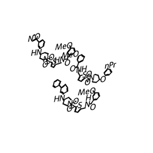 CCCc1cccc(OC2CCN(S(=O)(=O)c3ccc(CNC(=O)c4cccc(OC)c4)s3)CC2)c1.COc1cccc(C(=O)NCc2ccc(S(=O)(=O)N3CCC(Nc4cccc(-c5ccccc5)c4)CC3)s2)c1.COc1cccc(C(=O)NCc2ccc(S(=O)(=O)N3CCC(Nc4cccc(-c5cnco5)c4)CC3)s2)c1